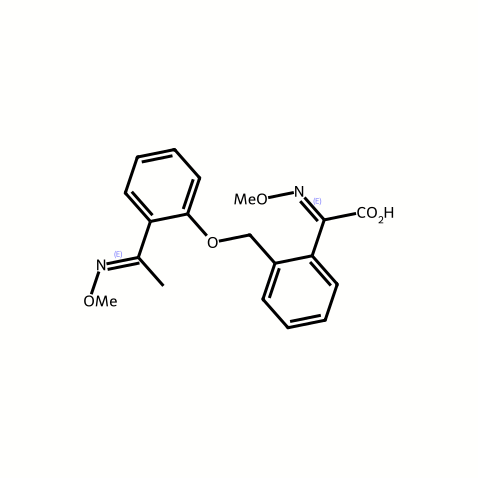 CO/N=C(/C(=O)O)c1ccccc1COc1ccccc1/C(C)=N/OC